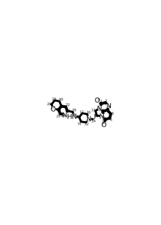 O=c1cnc2ccc(=O)n3c2n1C[C@H]3CN1CCC(NCc2cc3c(cn2)OCCC3)CC1